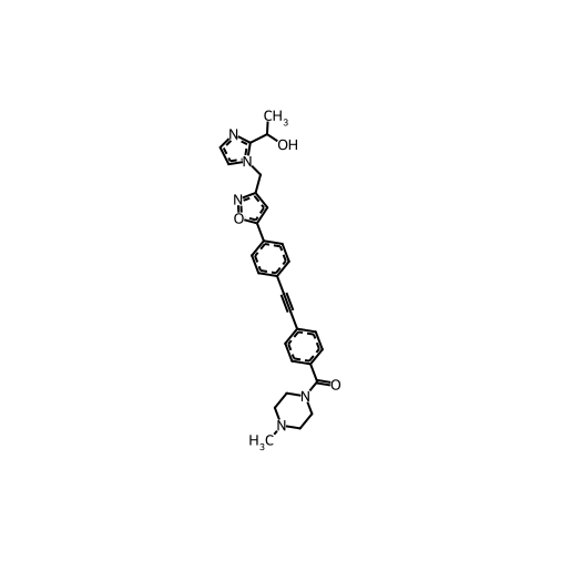 CC(O)c1nccn1Cc1cc(-c2ccc(C#Cc3ccc(C(=O)N4CCN(C)CC4)cc3)cc2)on1